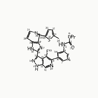 CCCC(=O)Nc1cncc(-c2ncc3[nH]nc(-c4nc5c(-c6ccc(C)s6)nccc5[nH]4)c3c2F)c1